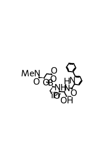 CNC(=O)[C@H]1CC(=O)OB([C@H](CC(C)C)NC(=O)[C@@H](NC(=O)c2cccc(-c3ccccc3)n2)[C@@H](C)O)O1